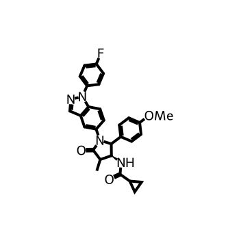 COc1ccc(C2[C@@H](NC(=O)C3CC3)C(C)C(=O)N2c2ccc3c(cnn3-c3ccc(F)cc3)c2)cc1